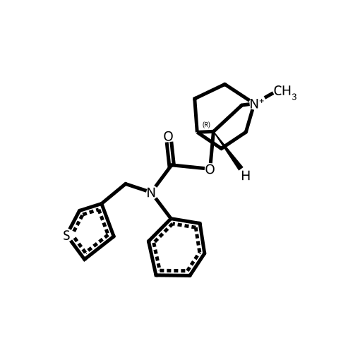 C[N+]12CCC(CC1)[C@@H](OC(=O)N(Cc1ccsc1)c1ccccc1)C2